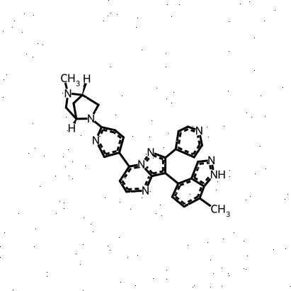 Cc1ccc(-c2c(-c3ccncc3)nn3c(-c4ccc(N5C[C@@H]6C[C@H]5CN6C)nc4)ccnc23)c2cn[nH]c12